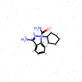 NC(=O)[N+]1(C2CCCCC2)N=C(N)c2c[c]ccc21